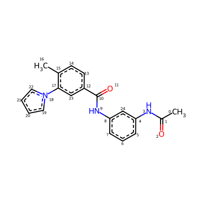 CC(=O)Nc1cccc(NC(=O)c2ccc(C)c(-n3cccc3)c2)c1